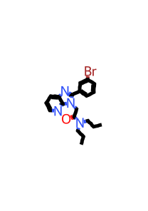 CCCN(CCC)C(=O)Cn1c(-c2cccc(Br)c2)nc2cccnc21